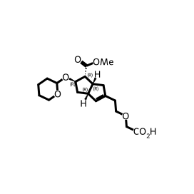 COC(=O)[C@@H]1[C@@H]2CC(CCOCC(=O)O)=C[C@@H]2C[C@H]1OC1CCCCO1